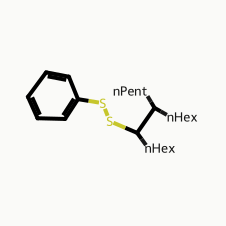 CCCCCCC(CCCCC)C(CCCCCC)SSc1ccccc1